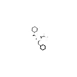 CC(C)[C@@H]1CC[C@@H](C)C[C@H]1C(=O)NC[C@H](Cc1ccccc1)NC(=O)[C@@H](C)NCl